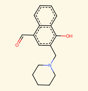 O=Cc1cc(CN2CCCCC2)c(O)c2ccccc12